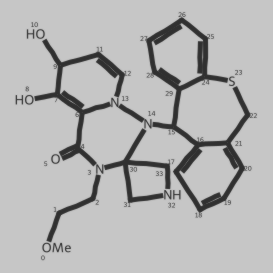 COCCN1C(=O)C2=C(O)C(O)C=CN2N(C2c3ccccc3CSc3ccccc32)C12CNC2